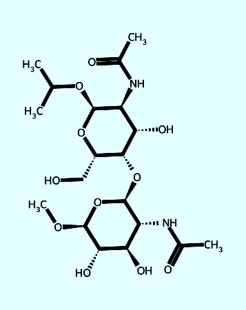 CO[C@H]1O[C@@H](O[C@H]2[C@@H](O)[C@H](NC(C)=O)[C@H](OC(C)C)O[C@H]2CO)[C@H](NC(C)=O)[C@@H](O)[C@@H]1O